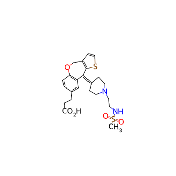 CS(=O)(=O)NCCN1CCC(=C2c3cc(CCC(=O)O)ccc3OCc3ccsc32)CC1